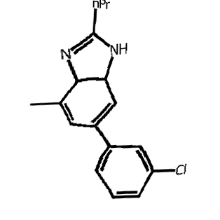 CCCC1=NC2C(C)=CC(c3cccc(Cl)c3)=CC2N1